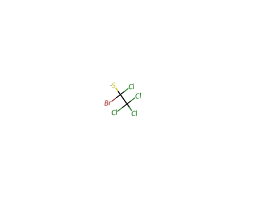 [S]C(Cl)(Br)C(Cl)(Cl)Cl